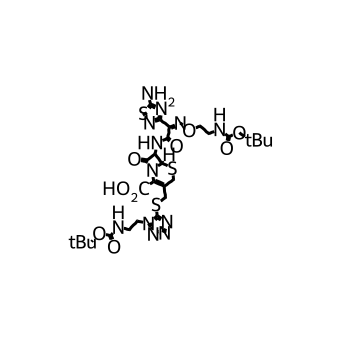 CC(C)(C)OC(=O)NCCO/N=C(\C(=O)NC1C(=O)N2C(C(=O)O)=C(CSc3nnnn3CCNC(=O)OC(C)(C)C)CS[C@H]12)c1nsc(N)n1